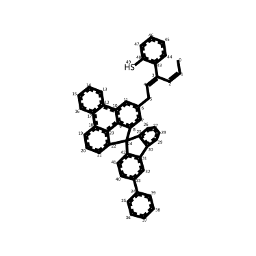 C/C=C\C(=C/Cc1cc2c3c(c1)c1ccccc1c1cccc(c13)C21c2ccccc2-c2cc(-c3ccccc3)ccc21)c1ccccc1S